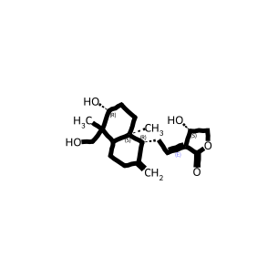 C=C1CCC2C(C)(CO)[C@H](O)CC[C@@]2(C)[C@@H]1C/C=C1/C(=O)OC[C@H]1O